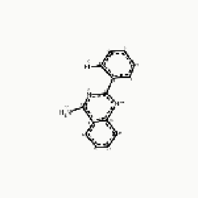 CCc1ccccc1-c1nc(N)c2ccccc2n1